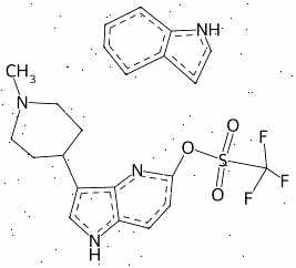 CN1CCC(c2c[nH]c3ccc(OS(=O)(=O)C(F)(F)F)nc23)CC1.c1ccc2[nH]ccc2c1